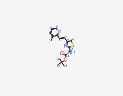 Cc1cccnc1C=Cc1csc(NC(=O)OC(C)(C)C)n1